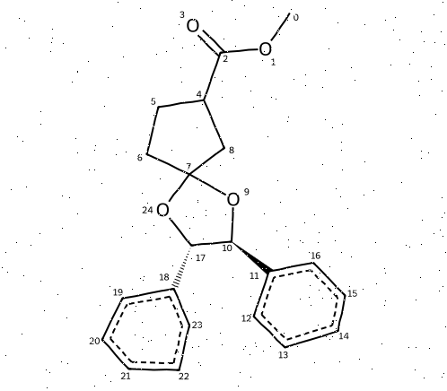 COC(=O)C1CCC2(C1)O[C@@H](c1ccccc1)[C@H](c1ccccc1)O2